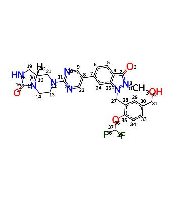 Cn1c(=O)c2ccc(-c3cnc(N4CCN5C(=O)NC[C@@H]5C4)nc3)cc2n1Cc1cc(CO)ccc1OC(F)F